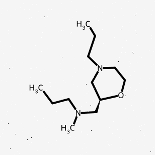 CCCN(C)C[C@H]1CN(CCC)CCO1